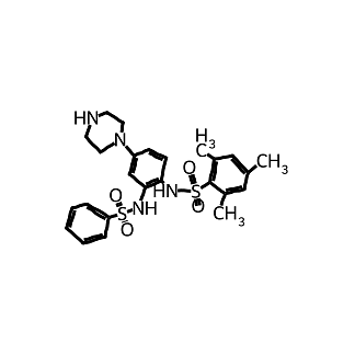 Cc1cc(C)c(S(=O)(=O)Nc2ccc(N3CCNCC3)cc2NS(=O)(=O)c2ccccc2)c(C)c1